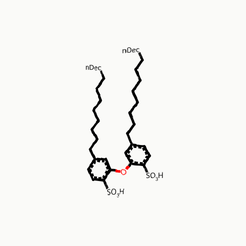 CCCCCCCCCCCCCCCCCCc1ccc(S(=O)(=O)O)c(Oc2cc(CCCCCCCCCCCCCCCCCC)ccc2S(=O)(=O)O)c1